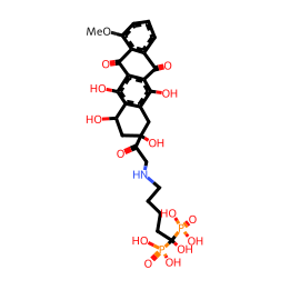 COc1cccc2c1C(=O)c1c(O)c3c(c(O)c1C2=O)CC(O)(C(=O)CNCCCCC(O)(P(=O)(O)O)P(=O)(O)O)CC3O